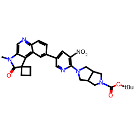 CN1C(=O)C2(CCC2)c2c1cnc1ccc(-c3cnc(N4CC5CN(C(=O)OC(C)(C)C)CC5C4)c([N+](=O)[O-])c3)cc21